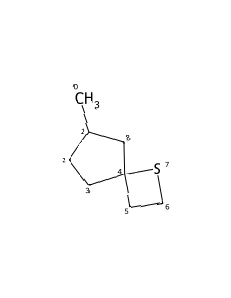 CC1CCC2(CCS2)C1